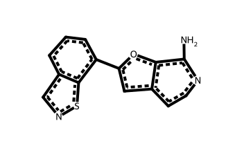 Nc1nccc2cc(-c3cccc4cnsc34)oc12